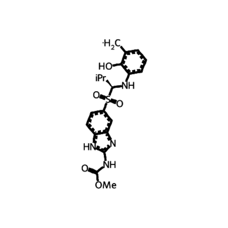 [CH2]c1cccc(N[C@H](C(C)C)S(=O)(=O)c2ccc3[nH]c(NC(=O)OC)nc3c2)c1O